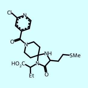 CCC(C(=O)O)N1C(=O)C(CCSC)NC12CCN(C(=O)c1ccnc(Cl)c1)CC2